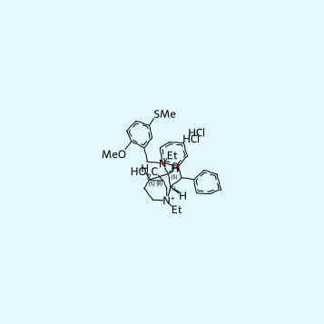 CCN(Cc1cc(SC)ccc1OC)[C@H]1[C@H]2CC[N+](CC)(C[C@@H]2C(=O)O)[C@H]1C(c1ccccc1)c1ccccc1.Cl.Cl